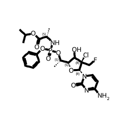 CC(C)OC(=O)[C@H](C)NP(=O)(Oc1ccccc1)O[C@@H](C)[C@H]1O[C@@H](n2ccc(N)nc2=O)[C@@](Cl)(CF)C1O